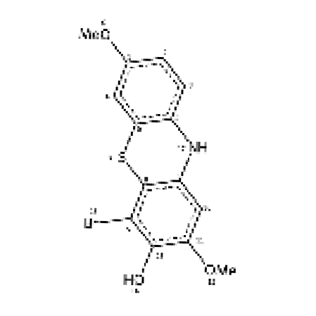 COc1ccc2c(c1)Sc1c(cc(OC)c(O)c1Br)N2